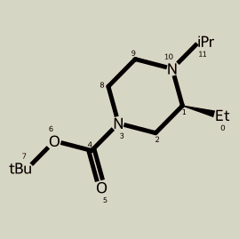 CC[C@H]1CN(C(=O)OC(C)(C)C)CCN1C(C)C